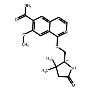 COc1cc2c(OC[C@H]3NC(=O)CC3(C)C)nccc2cc1C(N)=O